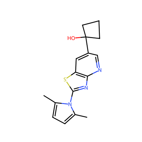 Cc1ccc(C)n1-c1nc2ncc(C3(O)CCC3)cc2s1